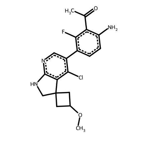 COC1CC2(CNc3ncc(-c4ccc(N)c(C(C)=O)c4F)c(Cl)c32)C1